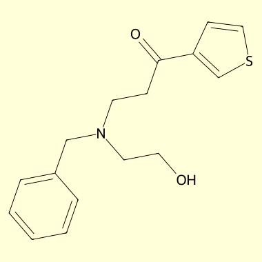 O=C(CCN(CCO)Cc1ccccc1)c1ccsc1